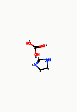 C1=NCCN1.O=C(O)O